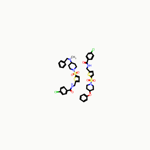 CN(Cc1ccccc1)C1CCN(S(=O)(=O)c2ccc(CNC(=O)c3ccc(Cl)cc3)s2)CC1.O=C(NCc1ccc(S(=O)(=O)N2CCC(Oc3ccccc3)CC2)s1)c1ccc(Cl)cc1